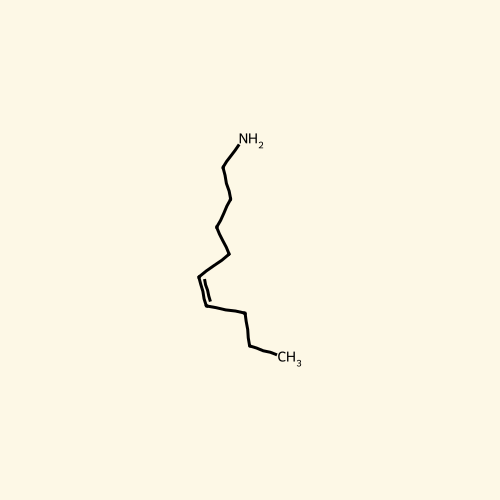 CCC/C=C\CCCCN